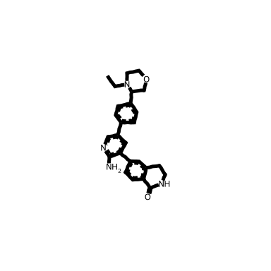 CCN1CCOCC1c1ccc(-c2cnc(N)c(-c3ccc4c(c3)CCNC4=O)c2)cc1